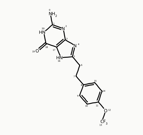 Nc1nc2nc(CCc3ccc(OC(F)(F)F)cc3)[nH]c2c(=O)[nH]1